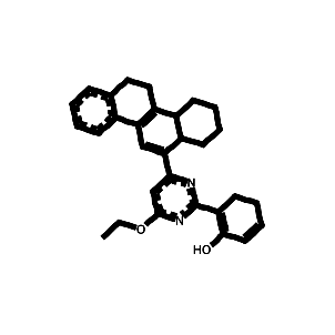 CCOc1cc(C2=CC3=C(CCc4ccccc43)C3CCCCC23)nc(C2=C(O)C=CCC2)n1